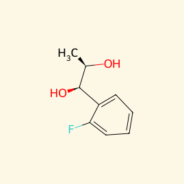 C[C@@H](O)[C@H](O)c1ccccc1F